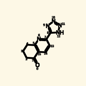 O=C1CCCc2nc(-c3nnn[nH]3)ccc21